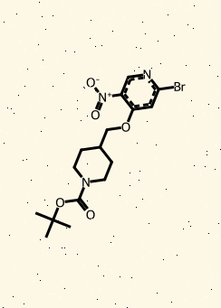 CC(C)(C)OC(=O)N1CCC(COc2cc(Br)ncc2[N+](=O)[O-])CC1